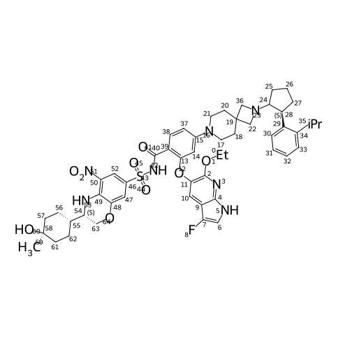 CCOc1nc2[nH]cc(F)c2cc1Oc1cc(N2CCC3(CC2)CN(C2CCC[C@H]2c2ccccc2C(C)C)C3)ccc1C(=O)NS(=O)(=O)c1cc2c(c([N+](=O)[O-])c1)N[C@@H]([C@H]1CC[C@](C)(O)CC1)CO2